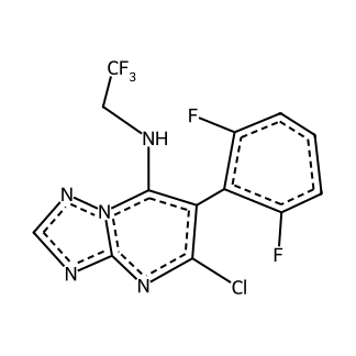 Fc1cccc(F)c1-c1c(Cl)nc2ncnn2c1NCC(F)(F)F